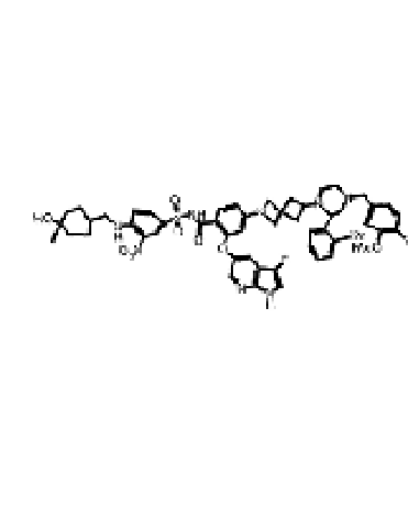 COc1cc(CN2CCN(C3CC4(C3)CN(c3ccc(C(=O)NS(=O)(=O)c5ccc(NCC6CCC(C)(O)CC6)c([N+](=O)[O-])c5)c(Oc5cnc6[nH]cc(F)c6c5)c3)C4)[C@H](c3ccccc3C(C)C)C2)ccc1Cl